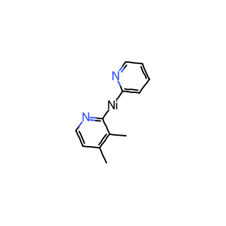 Cc1ccn[c]([Ni][c]2ccccn2)c1C